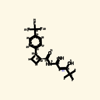 CC(C)(C)/C(O)=C/C(=N)NC(=O)[C@@H]1CCN1c1ccc(C(F)(F)F)cn1